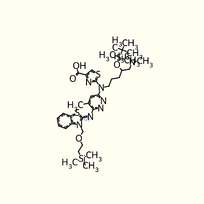 Cc1cc(N(CCCC(CN(C)C)O[Si](C)(C)C(C)(C)C)c2nc(C(=O)O)cs2)nnc1/N=c1\sc2ccccc2n1COCC[Si](C)(C)C